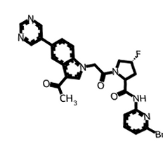 CC(=O)c1cn(CC(=O)N2C[C@H](F)CC2C(=O)Nc2cccc(Br)n2)c2ccc(-c3cncnc3)cc12